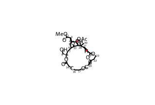 COC(=O)/C=C1\CC2C[C@H](CO)OC(=O)CCCCOCC[C@@H]3CCO[C@H](/C=C/C(C)(C)[C@](O)(C2=O)[C@H]1OC(C)=O)O3